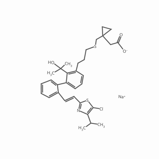 CC(C)c1nc(C=Cc2ccccc2-c2cccc(CCCSCC3(CC(=O)[O-])CC3)c2C(C)(C)O)sc1Cl.[Na+]